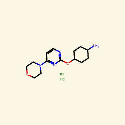 Cl.Cl.NC1CCC(Oc2nccc(N3CCOCC3)n2)CC1